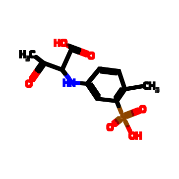 CC(=O)C(Nc1ccc(C)c(S(=O)(=O)O)c1)C(=O)O